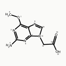 COc1nc(N)nc2c1ncn2CC(=O)O